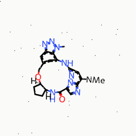 CNc1cc2nn3c(cnc13)C(=O)N[C@@H]1CCC[C@H]1OCc1cc(c3c(c1)nnn3C)N2